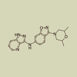 CC1CN(c2noc3cc(Nc4n[nH]c5cccnc45)ccc23)CC(C)O1